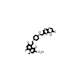 CCOC(=O)c1cn(C)c2c(F)cc(F)c(CC[C@H]3CC[C@H](NCc4cnc5c(n4)NC(=O)CS5)CC3)c2c1=O